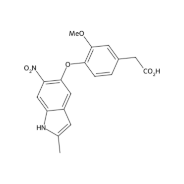 COc1cc(CC(=O)O)ccc1Oc1cc2cc(C)[nH]c2cc1[N+](=O)[O-]